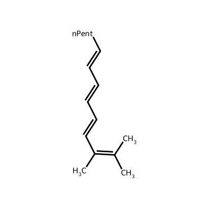 CCCCC/C=C/C=C/C=C/C(C)=C(C)C